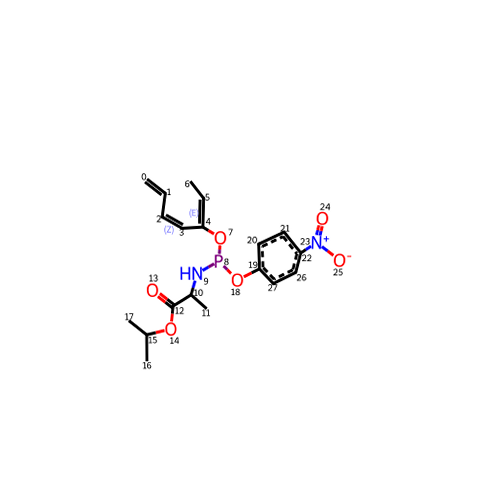 C=C/C=C\C(=C/C)OP(NC(C)C(=O)OC(C)C)Oc1ccc([N+](=O)[O-])cc1